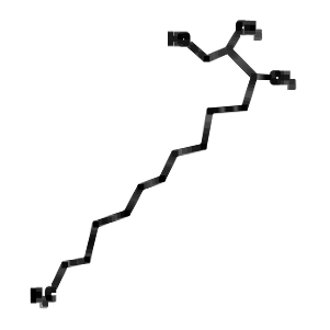 CCCCCCCCCCCC(C)C(C)CO